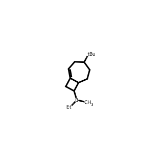 CCB(C)C1CC2=CCC(C(C)(C)C)CCC21